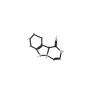 S=C1OC=CN2SC3=C(CCCC3)C12